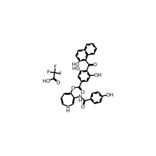 O=C(NC1=CNC=CC=C1OC(=O)c1cc(O)c(C(=O)c2c(O)ccc3ccccc23)c(O)c1)c1ccc(O)cc1.O=C(O)C(F)(F)F